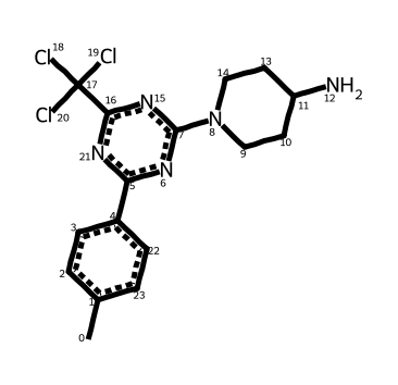 Cc1ccc(-c2nc(N3CCC(N)CC3)nc(C(Cl)(Cl)Cl)n2)cc1